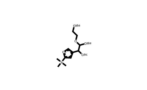 COCCOC(OC)C(OC(C)=O)c1coc([Si](C)(C)C)c1